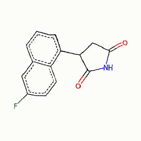 O=C1CC(c2cccc3cc(F)ccc23)C(=O)N1